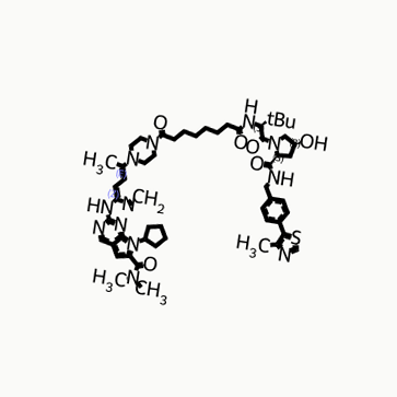 C=N/C(=C\C=C(/C)N1CCN(C(=O)CCCCCCC(=O)N[C@H](C(=O)N2C[C@H](O)C[C@H]2C(=O)NCc2ccc(-c3scnc3C)cc2)C(C)(C)C)CC1)Nc1ncc2cc(C(=O)N(C)C)n(C3CCCC3)c2n1